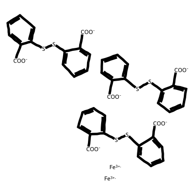 O=C([O-])c1ccccc1SSc1ccccc1C(=O)[O-].O=C([O-])c1ccccc1SSc1ccccc1C(=O)[O-].O=C([O-])c1ccccc1SSc1ccccc1C(=O)[O-].[Fe+3].[Fe+3]